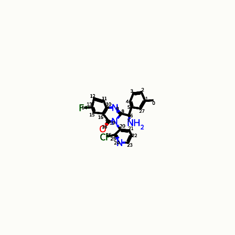 Cc1cccc(C(N)c2nc3ccc(F)cc3c(=O)n2-c2cccnc2Cl)c1